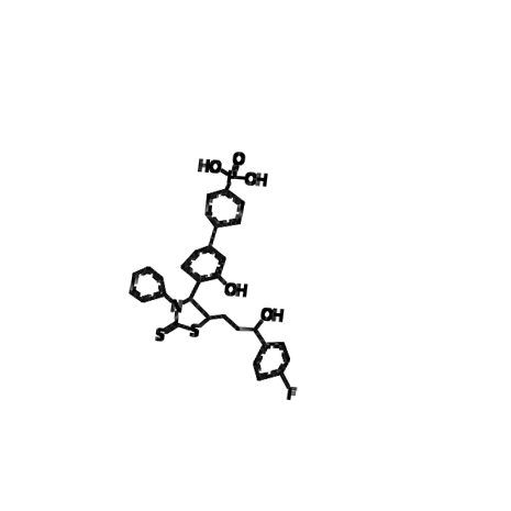 O=P(O)(O)c1ccc(-c2ccc(C3C(CCC(O)c4ccc(F)cc4)SC(=S)N3c3ccccc3)c(O)c2)cc1